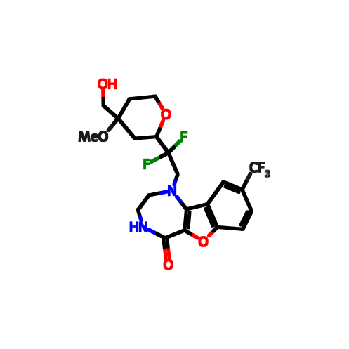 COC1(CO)CCOC(C(F)(F)CN2CCNC(=O)c3oc4ccc(C(F)(F)F)cc4c32)C1